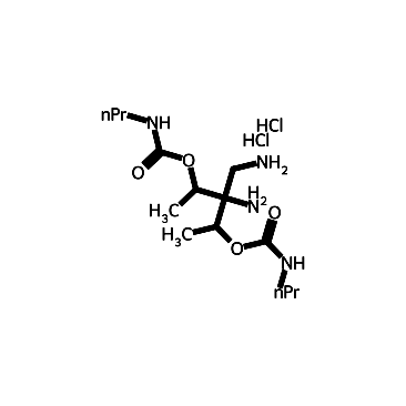 CCCNC(=O)OC(C)C(N)(CN)C(C)OC(=O)NCCC.Cl.Cl